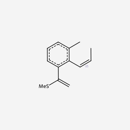 C=C(SC)c1cccc(C)c1/C=C\C